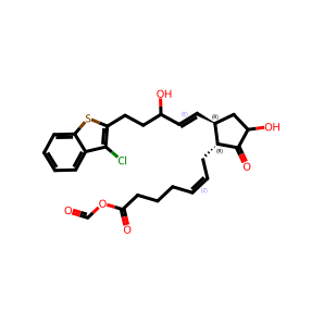 O=COC(=O)CCC/C=C\C[C@H]1C(=O)C(O)C[C@@H]1/C=C/C(O)CCc1sc2ccccc2c1Cl